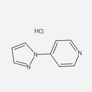 Cl.c1cnn(-c2ccncc2)c1